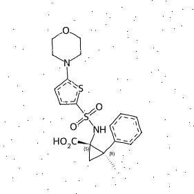 C[C@]1(c2ccccc2)C[C@@]1(NS(=O)(=O)c1ccc(N2CCOCC2)s1)C(=O)O